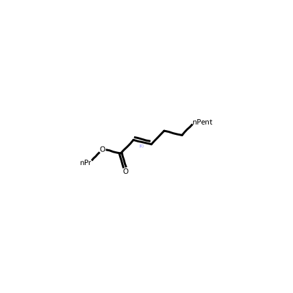 CCCCCCC/C=C/C(=O)OCCC